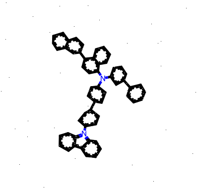 c1ccc(-c2cccc(N(c3ccc(-c4ccc(-n5c6ccccc6c6ccccc65)cc4)cc3)c3ccc(-c4ccc5ccccc5c4)c4ccccc34)c2)cc1